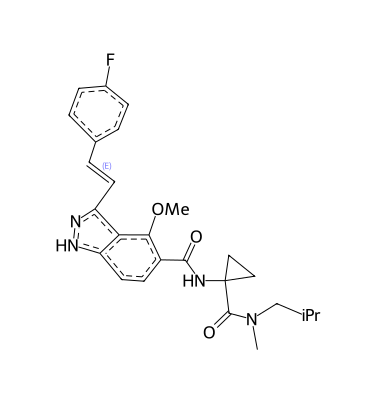 COc1c(C(=O)NC2(C(=O)N(C)CC(C)C)CC2)ccc2[nH]nc(/C=C/c3ccc(F)cc3)c12